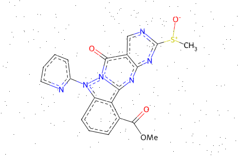 COC(=O)c1cccc2c1c1nc3nc([S+](C)[O-])ncc3c(=O)n1n2-c1ccccn1